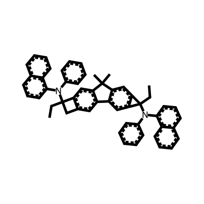 CCC1(N(c2ccccc2)c2cccc3ccccc23)Cc2cc3c(cc21)C(C)(C)c1cc2c(cc1-3)C2(CC)N(c1ccccc1)c1cccc2ccccc12